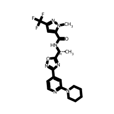 C[C@@H](NC(=O)c1cc(C(F)(F)F)nn1C)c1nc(-c2ccnc(N3CCCCC3)c2)no1